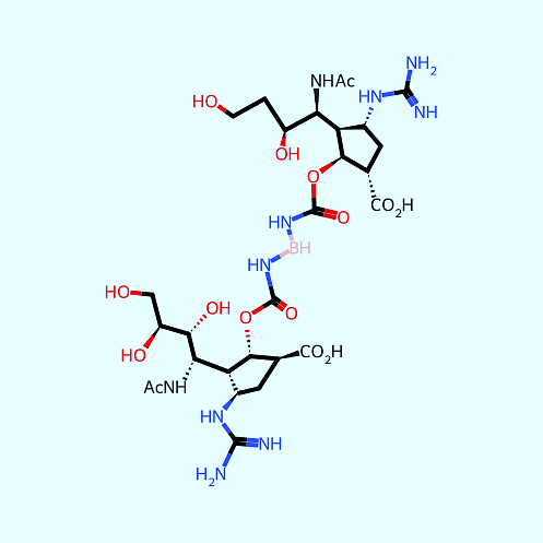 CC(=O)N[C@H]([C@@H](O)[C@@H](O)CO)[C@@H]1[C@H](OC(=O)NBNC(=O)O[C@H]2[C@@H]([C@H](NC(C)=O)[C@@H](O)CCO)[C@H](NC(=N)N)C[C@@H]2C(=O)O)[C@@H](C(=O)O)C[C@H]1NC(=N)N